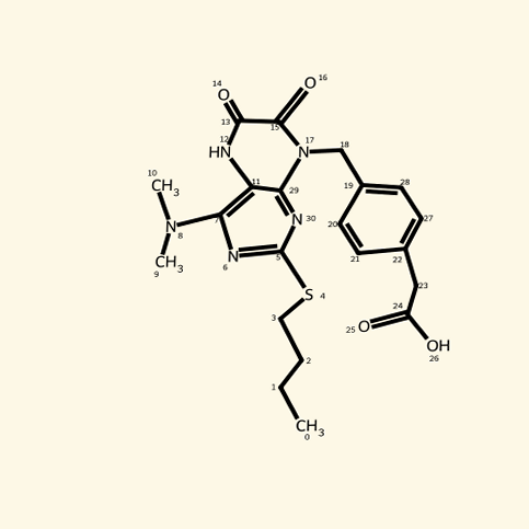 CCCCSc1nc(N(C)C)c2[nH]c(=O)c(=O)n(Cc3ccc(CC(=O)O)cc3)c2n1